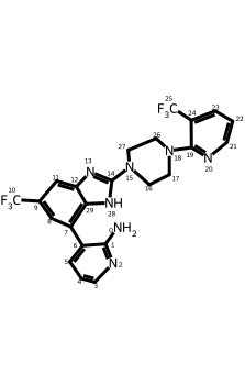 Nc1ncccc1-c1cc(C(F)(F)F)cc2nc(N3CCN(c4ncccc4C(F)(F)F)CC3)[nH]c12